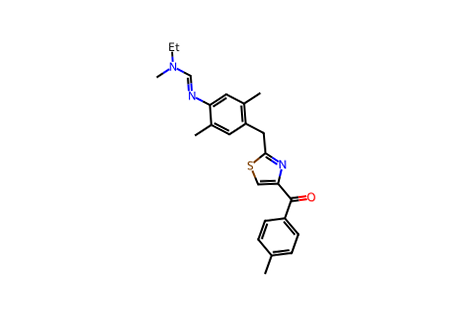 CCN(C)/C=N/c1cc(C)c(Cc2nc(C(=O)c3ccc(C)cc3)cs2)cc1C